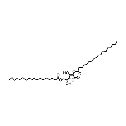 CCCCCCCCCCCCCCCCCC(=O)OC[C@H](O)[C@H]1OC(=O)C(OC(=O)CCCCCCCCCCCCCCCCC)=C1O